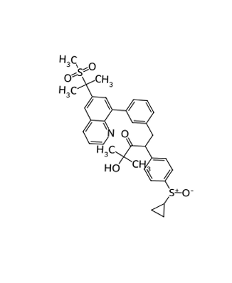 CC(C)(O)C(=O)C(Cc1cccc(-c2cc(C(C)(C)S(C)(=O)=O)cc3cccnc23)c1)c1ccc([S+]([O-])C2CC2)cc1